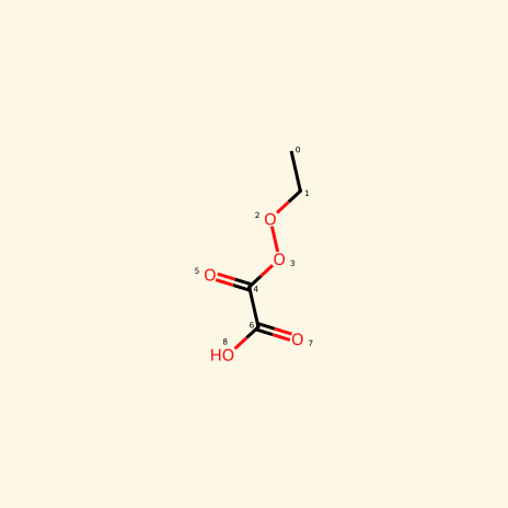 CCOOC(=O)C(=O)O